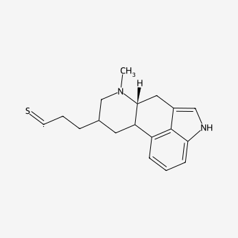 CN1CC(CC[C]=S)CC2c3cccc4[nH]cc(c34)C[C@H]21